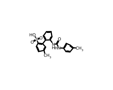 Cc1ccc(NC(=O)Nc2ccccc2-c2cc(C)ccc2S(=O)(=O)O)cc1